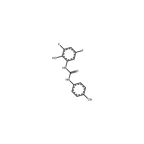 N#Cc1ccc(NC(=O)Nc2cc(F)cc(F)c2O)cc1